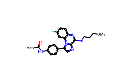 CNC(=O)Nc1ccc(-c2cnc3c(NCCCOC)nc4ccc(F)cc4n23)cc1